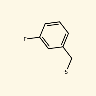 Fc1cccc(C[S])c1